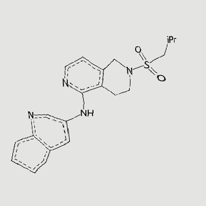 CC(C)CS(=O)(=O)N1CCc2c(ccnc2Nc2cnc3ccccc3c2)C1